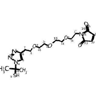 CC(C)(S)n1cc(CCOCCOCCOCCN2C(=O)C=CC2=O)nn1